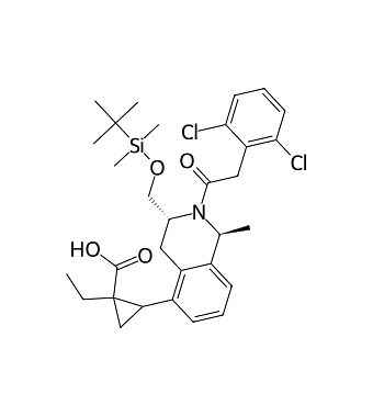 CCC1(C(=O)O)CC1c1cccc2c1C[C@H](CO[Si](C)(C)C(C)(C)C)N(C(=O)Cc1c(Cl)cccc1Cl)[C@H]2C